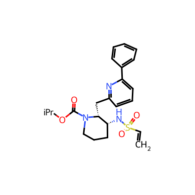 C=CS(=O)(=O)N[C@@H]1CCCN(C(=O)OC(C)C)[C@@H]1Cc1cccc(-c2ccccc2)n1